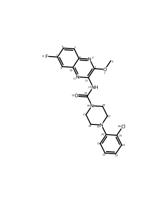 COc1nc2ccc(F)cc2nc1NC(=O)N1CCN(c2ccccc2Cl)CC1